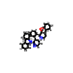 c1ccc(-c2nccc3c2oc2ccccc23)c(-c2cccnc2-n2c3ccccc3c3ccccc32)c1